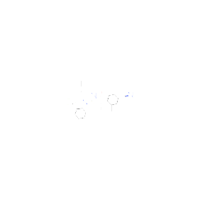 CCN(C1=NC(=O)C(C)(c2ccc(C#N)cc2)S1)c1ccccc1C(F)(F)F